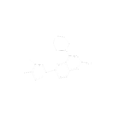 Cc1cc(-c2ccc3nc(N)nc(N4CCOCC4)c3n2)ccc1F